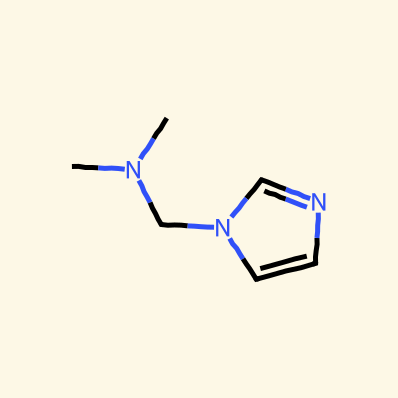 CN(C)Cn1ccnc1